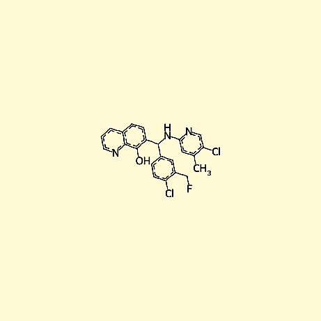 Cc1cc(NC(c2ccc(Cl)c(CF)c2)c2ccc3cccnc3c2O)ncc1Cl